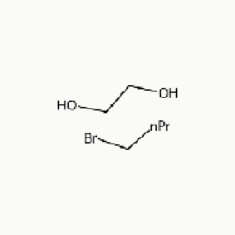 CCCCBr.OCCO